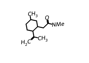 C=C(C)C1CCC(C)CC1CC(=O)NC